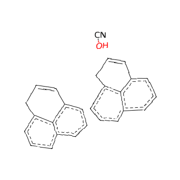 C1=Cc2cccc3cccc(c23)C1.C1=Cc2cccc3cccc(c23)C1.N#CO